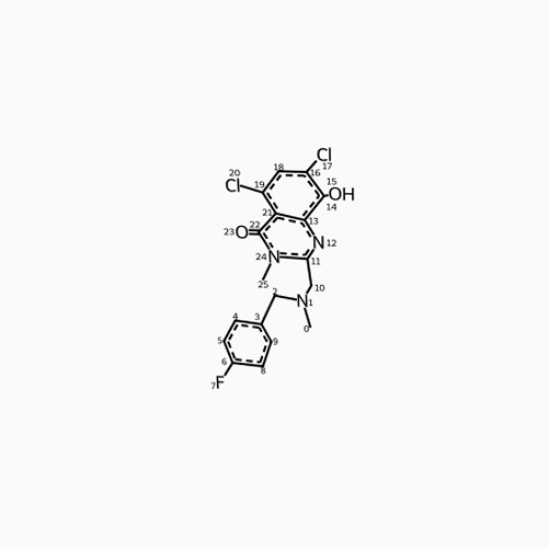 CN(Cc1ccc(F)cc1)Cc1nc2c(O)c(Cl)cc(Cl)c2c(=O)n1C